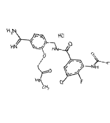 CNC(=O)COc1cc(C(=N)N)ccc1CNC(=O)c1cc(Cl)c(F)c(NC(C)=O)c1.Cl